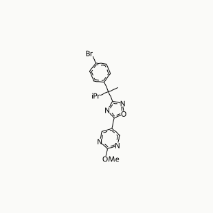 COc1ncc(-c2nc(C(C)(c3ccc(Br)cc3)C(C)C)no2)cn1